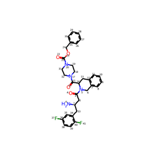 N[C@@H](CC(=O)N1Cc2ccccc2CC1C(=O)N1CCN(C(=O)OCc2ccccc2)CC1)Cc1cc(F)ccc1F